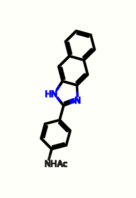 CC(=O)Nc1ccc(-c2nc3cc4ccccc4cc3[nH]2)cc1